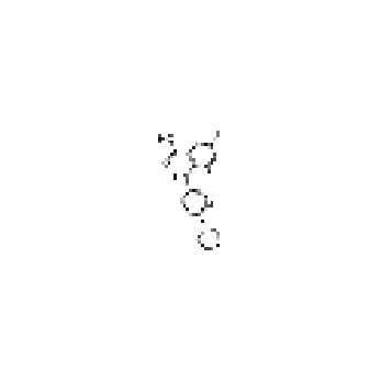 O=C(O)c1cc(F)cnc1Nc1ccc(C2CCCC2)nc1